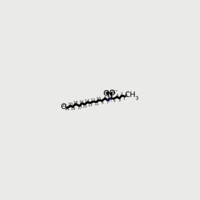 CCCCCC/C(=C/CCCCCCCCCCCCCC=O)[N+](=O)[O-]